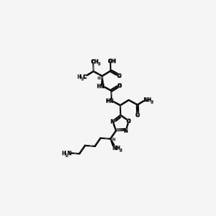 CC(C)[C@H](NC(=O)NC(CC(N)=O)c1nc([C@@H](N)CCCCN)no1)C(=O)O